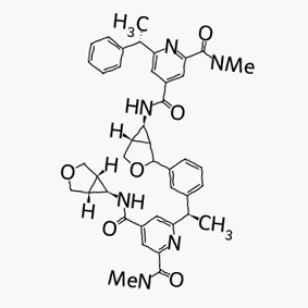 CNC(=O)c1cc(C(=O)N[C@H]2[C@@H]3COC[C@@H]32)cc([C@H](C)c2cccc(C3OC[C@H]4C3[C@@H]4NC(=O)c3cc(C(=O)NC)nc([C@@H](C)c4ccccc4)c3)c2)n1